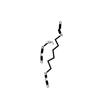 O=C=NCCCCCCN=C=O.O=C=N[SiH3]